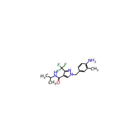 Cc1cc(Cn2cc(C(=O)NC(C)C)c(C(F)(F)F)n2)ccc1N